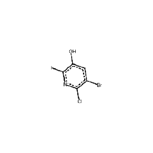 Oc1cc(Br)c(Cl)nc1I